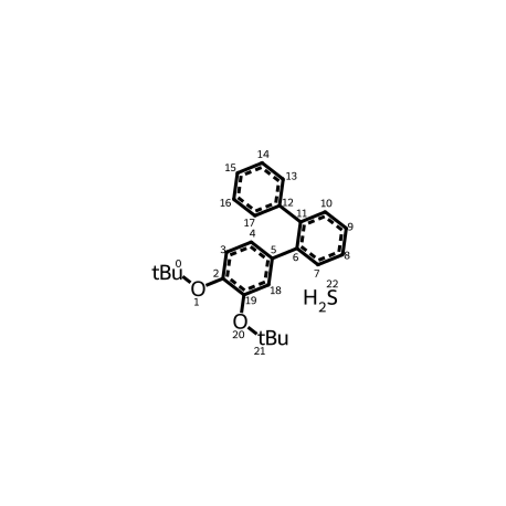 CC(C)(C)Oc1ccc(-c2ccccc2-c2ccccc2)cc1OC(C)(C)C.S